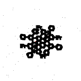 CC(C)c1ccc2c(c1)N(c1ccccc1)c1cc(C(C)C)cc3c1B2c1cc2c(-c4c(-c5ccccc5)cc(-c5ccccc5)cc4-c4ccccc4)cc4c5c(cc6c(-c7c(-c8ccccc8)cc(-c8ccccc8)cc7-c7ccccc7)cc-3c1c6c25)B1c2ccc(C(C)C)cc2N(c2ccccc2)c2cc(C(C)C)cc-4c21